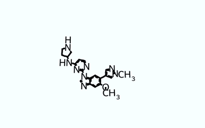 COc1cc2ncn(-c3nccc(NC4CCNC4)n3)c2cc1-c1cnn(C)c1